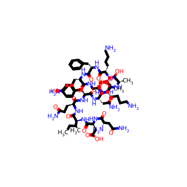 CC[C@H](C)[C@H](NC(=O)[C@H](CC(=O)O)NC(=O)[C@@H](N)CC(N)=O)C(=O)N[C@@H](CCC(N)=O)C(=O)N[C@@H](Cc1ccc(O)cc1)C(=O)N[C@@H](CC(N)=O)C(=O)N[C@@H](C)C(=O)N[C@@H](CCCCN)C(=O)N[C@@H](Cc1ccccc1)C(=O)N[C@@H](CCCCN)C(=O)NCC(=O)N[C@@H](CCCCN)C(=O)N[C@@H](C)C(=O)O